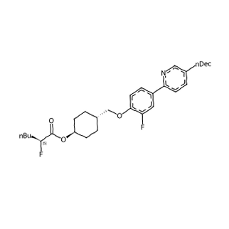 CCCCCCCCCCc1ccc(-c2ccc(OC[C@H]3CC[C@H](OC(=O)[C@@H](F)CCCC)CC3)c(F)c2)nc1